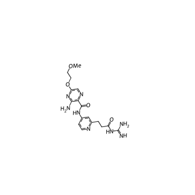 COCCOc1cnc(C(=O)Nc2ccnc(CCC(=O)NC(=N)N)c2)c(N)n1